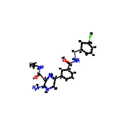 CNC(=O)c1nc(-c2cccc(C(=O)NCc3cccc(F)c3)c2)cnc1N